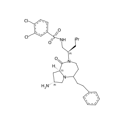 CC(C)C[C@H](CNS(=O)(=O)c1ccc(Cl)c(Cl)c1)N1CCC(CCc2ccccc2)N2C[C@H](N)C[C@H]2C1=O